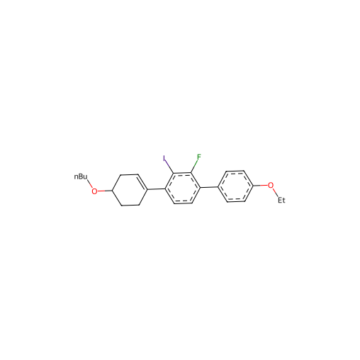 CCCCOC1CC=C(c2ccc(-c3ccc(OCC)cc3)c(F)c2I)CC1